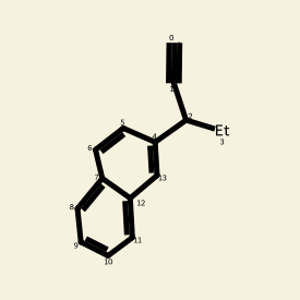 [C]#CC(CC)c1ccc2ccccc2c1